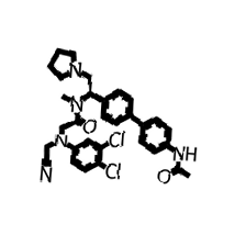 CC(=O)Nc1ccc(-c2ccc([C@H](CN3CCCC3)N(C)C(=O)CN(CC#N)c3ccc(Cl)c(Cl)c3)cc2)cc1